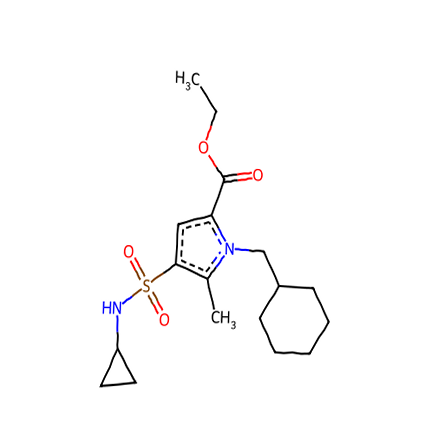 CCOC(=O)c1cc(S(=O)(=O)NC2CC2)c(C)n1CC1CCCCC1